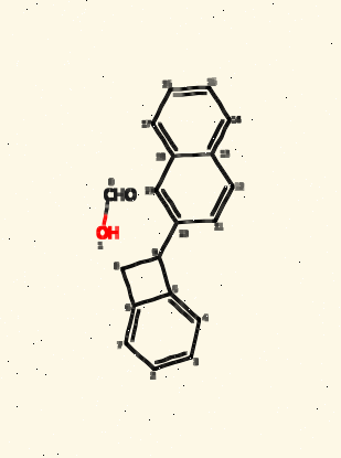 O=CO.c1ccc2c(c1)CC2c1ccc2ccccc2c1